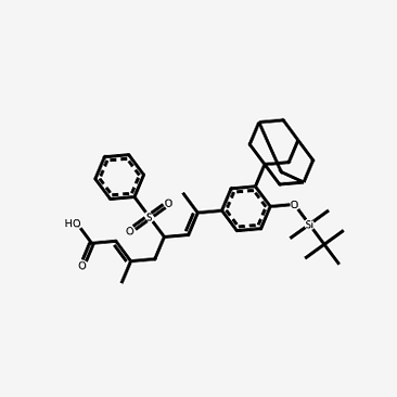 CC(=CC(=O)O)CC(C=C(C)c1ccc(O[Si](C)(C)C(C)(C)C)c(C23CC4CC(CC(C4)C2)C3)c1)S(=O)(=O)c1ccccc1